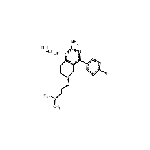 CN(C)CCCN1CCc2nc(N)nc(-c3ccc(F)cc3)c2C1.Cl.Cl.Cl